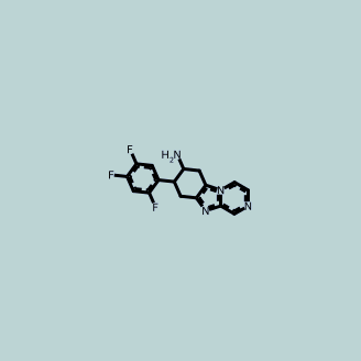 NC1Cc2c(nc3cnccn23)CC1c1cc(F)c(F)cc1F